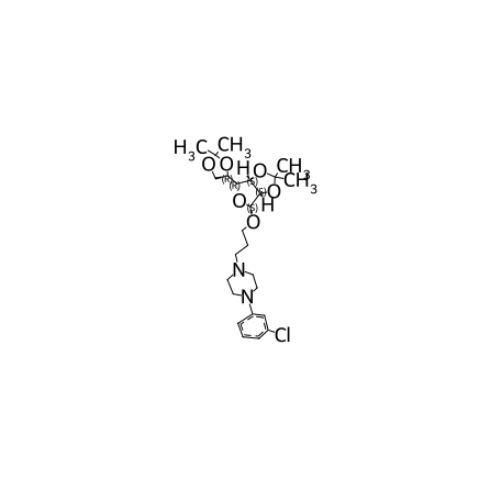 CC1(C)O[C@@H]2[C@H](O1)[C@@H](OCCCN1CCN(c3cccc(Cl)c3)CC1)O[C@@H]2[C@H]1COC(C)(C)O1